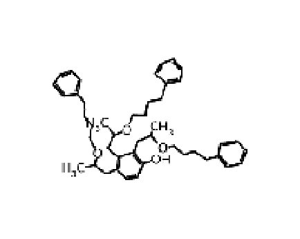 CC(Cc1ccc(O)c(CC(C)OCCCCc2ccccc2)c1CC(C)OCCCCc1ccccc1)OCCCCc1ccccc1